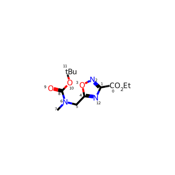 CCOC(=O)c1noc(CN(C)C(=O)OC(C)(C)C)n1